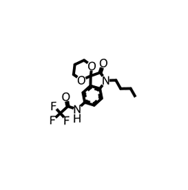 CCCCN1C(=O)C2(OCCCO2)c2cc(NC(=O)C(F)(F)F)ccc21